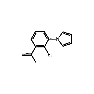 C=C(C)c1cccc(-n2cccc2)c1CC